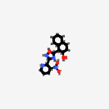 O=[N+]([O-])c1cccnc1-c1noc(-c2c(O)ccc3ccccc23)n1